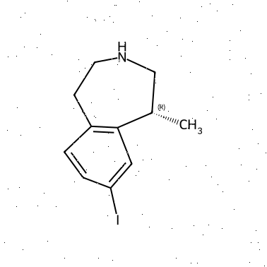 C[C@H]1CNCCc2ccc(I)cc21